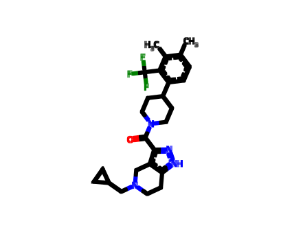 Cc1ccc(C2CCN(C(=O)c3n[nH]c4c3CN(CC3CC3)CC4)CC2)c(C(F)(F)F)c1C